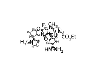 CCOC(=O)CN1CCC(N(C)c2c(F)c(Oc3cccc(C4=NCCN4C)c3)nc(Oc3cc(C(=N)N)ccc3O)c2F)CC1